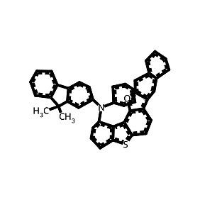 CC1(C)c2ccccc2-c2ccc(N(c3ccccc3)c3cccc4sc5ccc6c7cc8ccccc8cc7oc6c5c34)cc21